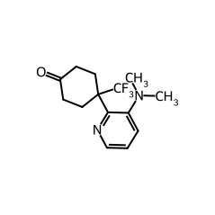 CN(C)c1cccnc1C1(C(F)(F)F)CCC(=O)CC1